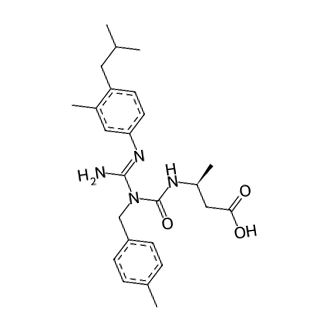 Cc1ccc(CN(C(=O)N[C@@H](C)CC(=O)O)/C(N)=N/c2ccc(CC(C)C)c(C)c2)cc1